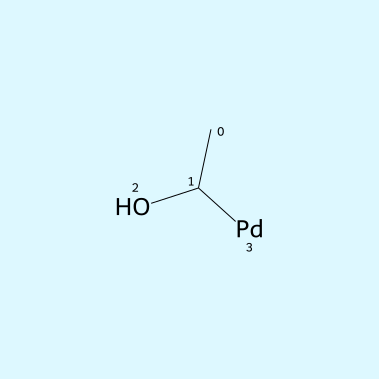 C[CH](O)[Pd]